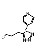 [O]CCCc1nnnn1-c1ccncc1